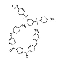 CC(C)(c1ccc(N)cc1)c1cccc(C(C)(C)c2ccc(N)cc2)c1.Nc1ccc(Oc2ccc(C(=O)c3ccc(C(=O)c4ccc(Oc5ccc(N)cc5)cc4)cc3)cc2)cc1